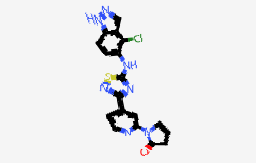 O=C1CCCN1c1cc(-c2nsc(Nc3ccc4[nH]ncc4c3Cl)n2)ccn1